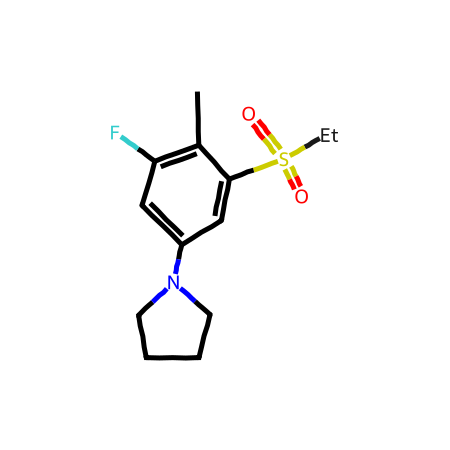 CCS(=O)(=O)c1cc(N2CCCC2)cc(F)c1C